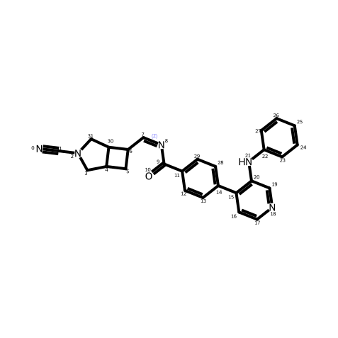 N#CN1CC2CC(/C=N\C(=O)c3ccc(-c4ccncc4Nc4ccccc4)cc3)C2C1